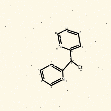 CC[C](c1ccccn1)c1ccccn1